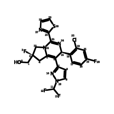 OC[C@]1(F)CC2=C(c3ccn(C(F)F)n3)[C@H](c3ccc(F)cc3Cl)N=C(c3nccs3)N2C1